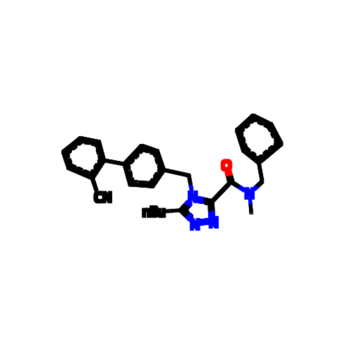 CCCCc1nnc(C(=O)N(C)Cc2ccccc2)n1Cc1ccc(-c2ccccc2C#N)cc1